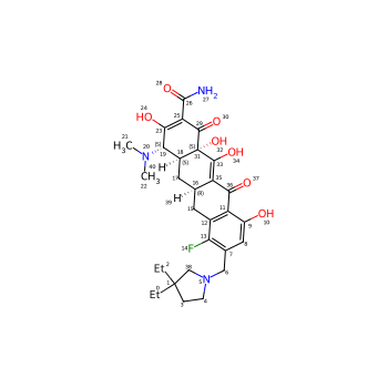 CCC1(CC)CCN(Cc2cc(O)c3c(c2F)C[C@H]2C[C@H]4[C@H](N(C)C)C(O)=C(C(N)=O)C(=O)[C@@]4(O)C(O)=C2C3=O)C1